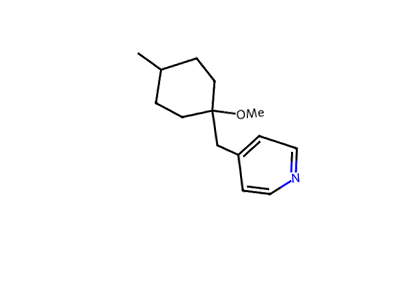 COC1(Cc2ccncc2)CCC(C)CC1